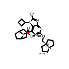 CC(C)(C)OC(=O)N1C2CCC1CN(c1nc(OC[C@@]34CCCN3C[C@H](F)C4)nc3nc(Br)n(C4CCC4)c13)C2